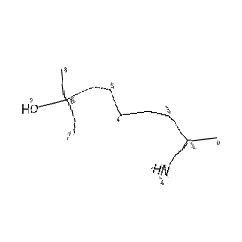 CC([NH])CCCC(C)(C)O